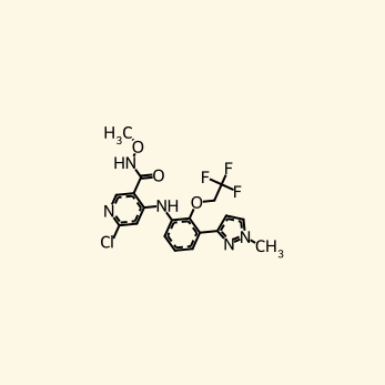 CONC(=O)c1cnc(Cl)cc1Nc1cccc(-c2ccn(C)n2)c1OCC(F)(F)F